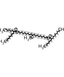 CCCCCCCCC(CCCCCC)C(=O)OCCCCCCCCCC(CCCCCCCCCOC(=O)C(CCCCCC)CCCCCCCC)OC